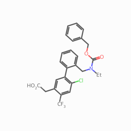 CCN(Cc1ccccc1-c1cc(CC(=O)O)c(C(F)(F)F)cc1Cl)C(=O)OCc1ccccc1